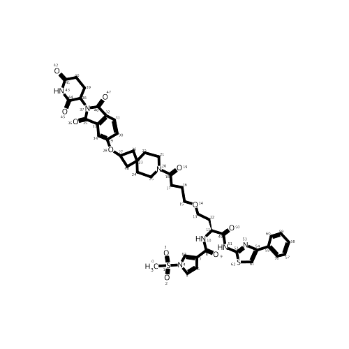 CS(=O)(=O)n1ccc(C(=O)N[C@@H](CCOCCCC(=O)N2CCC3(CC2)CC(Oc2ccc4c(c2)C(=O)N(C2CCC(=O)NC2=O)C4=O)C3)C(=O)Nc2nc(-c3ccccc3)cs2)c1